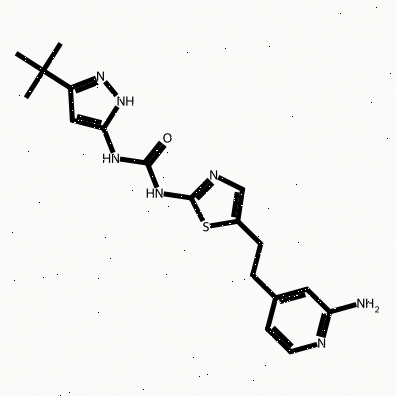 CC(C)(C)c1cc(NC(=O)Nc2ncc(CCc3ccnc(N)c3)s2)[nH]n1